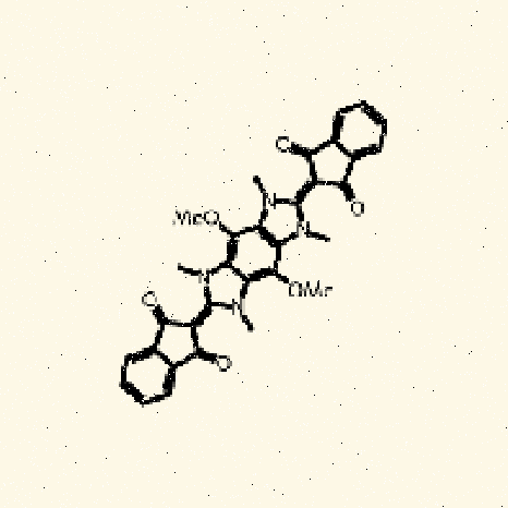 COc1c2c(c(OC)c3c1N(C)C(=C1C(=O)c4ccccc4C1=O)N3C)N(C)C(=C1C(=O)c3ccccc3C1=O)N2C